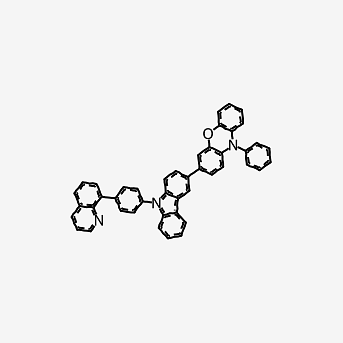 c1ccc(N2c3ccccc3Oc3cc(-c4ccc5c(c4)c4ccccc4n5-c4ccc(-c5cccc6cccnc56)cc4)ccc32)cc1